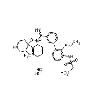 C/C=C/c1c(NS(=O)(=O)CC(=O)O)cccc1-c1cccc(C(=N)NOC2(C3=NCCCC3)CCNCC2C)c1.Cl.Cl